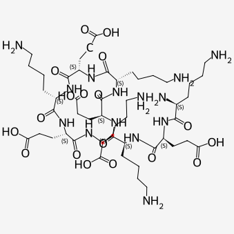 NCCCC[C@H](NC(=O)[C@H](CCC(=O)O)NC(=O)[C@H](CCCCN)NC(=O)[C@H](CCC(=O)O)NC(=O)[C@H](CCCCN)NC(=O)[C@H](CCC(=O)O)NC(=O)[C@H](CCCCN)NC(=O)[C@H](CCC(=O)O)NC(=O)[C@@H](N)CCCCN)C(=O)O